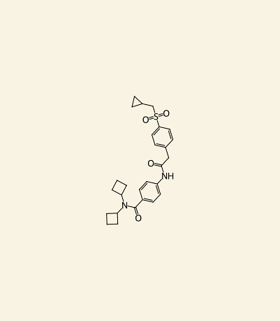 O=C(Cc1ccc(S(=O)(=O)CC2CC2)cc1)Nc1ccc(C(=O)N(C2CCC2)C2CCC2)cc1